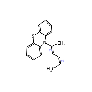 C/C=C\C=C(/C)N1c2ccccc2Sc2ccccc21